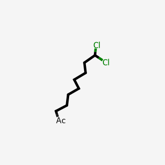 CC(=O)CCCCCCCC(Cl)Cl